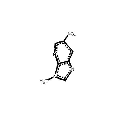 Cn1[c]nc2cc([N+](=O)[O-])cnc21